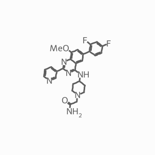 COc1cc(-c2ccc(F)cc2F)cc2c(NC3CCN(CC(N)=O)CC3)nc(-c3cccnc3)nc12